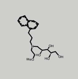 COCCN(CCCc1cccc2ccccc12)C[C@H](O)[C@@H](O)[C@H](O)CO